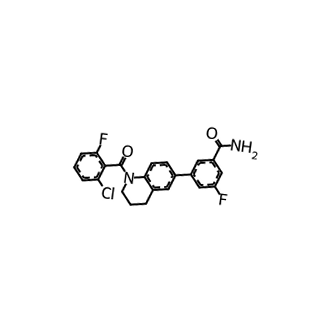 NC(=O)c1cc(F)cc(-c2ccc3c(c2)CCCN3C(=O)c2c(F)cccc2Cl)c1